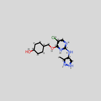 Cc1n[nH]cc1Nc1ncc(Cl)c(OCC2CCC(O)CC2)n1